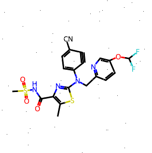 Cc1sc(N(Cc2ccc(OC(F)F)cn2)c2c#cc(C#N)cc2)nc1C(=O)NS(C)(=O)=O